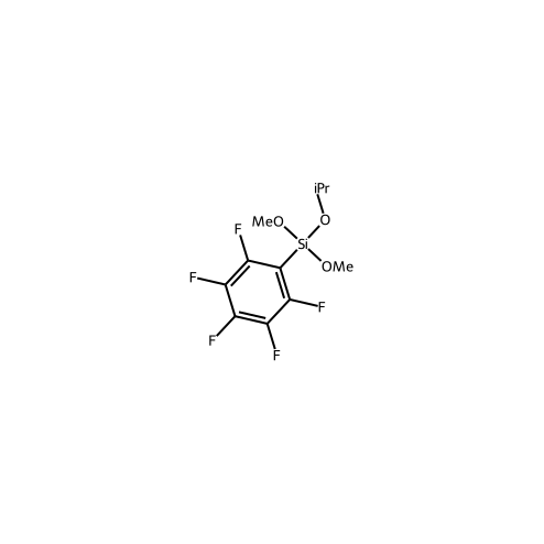 CO[Si](OC)(OC(C)C)c1c(F)c(F)c(F)c(F)c1F